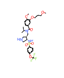 COCCCOc1cc(C(=O)N(C[C@@H]2CNC[C@H]2NS(=O)(=O)c2ccc(OC(F)(F)F)cc2)C(C)C)ccc1OC